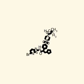 CC(C)(C)CC(=O)N1CCN(S(=O)(=O)c2ccc(C(CC3CCCC3)C(=O)Nc3nc4ccc(Br)nc4s3)cc2)CC1